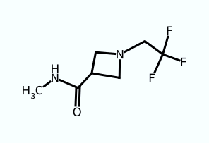 CNC(=O)C1CN(CC(F)(F)F)C1